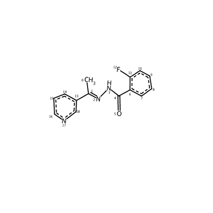 C/C(=N\NC(=O)c1ccccc1F)c1cccnc1